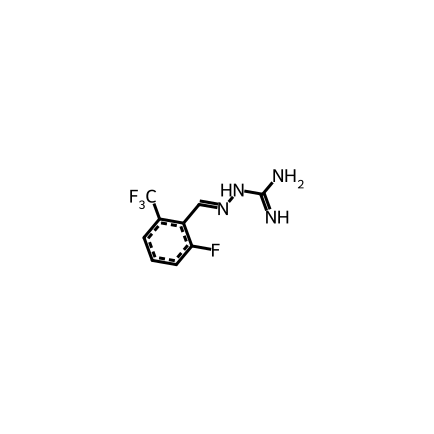 N=C(N)N/N=C/c1c(F)cccc1C(F)(F)F